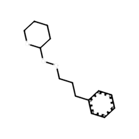 c1ccc(CCCOOC2CCCCO2)cc1